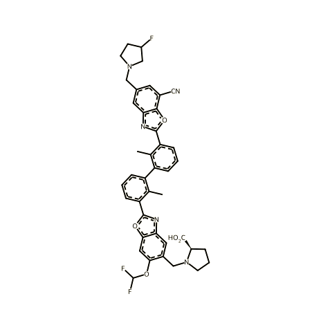 Cc1c(-c2nc3cc(CN4CCC[C@@H]4C(=O)O)c(OC(F)F)cc3o2)cccc1-c1cccc(-c2nc3cc(CN4CCC(F)C4)cc(C#N)c3o2)c1C